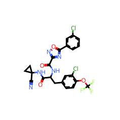 N#CC1(NC(=O)C(Cc2ccc(OC(F)(F)F)c(Cl)c2)NC(=O)c2noc(-c3cccc(Cl)c3)n2)CC1